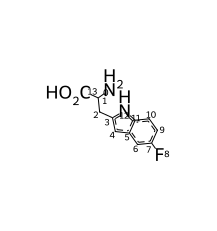 NC(Cc1cc2cc(F)ccc2[nH]1)C(=O)O